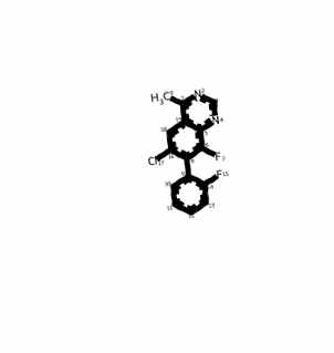 Cc1ncnc2c(F)c(-c3ccccc3F)c(Cl)cc12